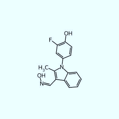 Cc1c(/C=N\O)c2ccccc2n1-c1ccc(O)c(F)c1